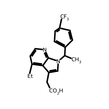 CCc1ccnc2c1c(CC(=O)O)cn2C(C)c1ccc(C(F)(F)F)cc1